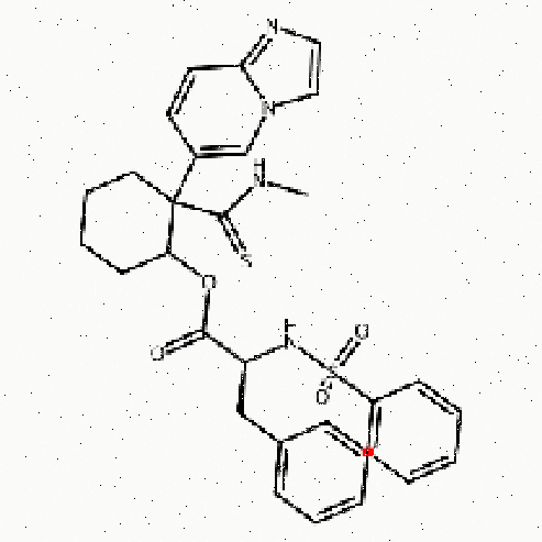 CNC(=S)C1(c2ccc3nccn3c2)CCCCC1OC(=O)[C@H](Cc1ccccc1)NS(=O)(=O)c1ccccc1